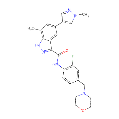 Cc1cc(-c2cnn(C)c2)cc2c(C(=O)Nc3ccc(CN4CCOCC4)cc3F)n[nH]c12